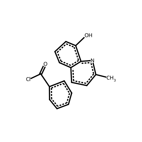 Cc1ccc2cccc(O)c2n1.O=C(Cl)c1ccccc1